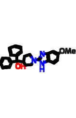 COc1ccc2[nH]c(N3CCC(C(O)(c4ccccc4)c4ccccc4)CC3)nc2c1